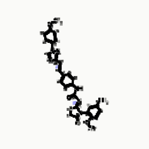 Cc1ccc(OC(C)C)c(N2C(=O)CS/C2=N\C(=O)Nc2ccc(/C=C/c3ncn(-c4ccc(OC(F)(F)F)cc4)n3)cc2)c1